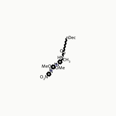 CCCCCCCCCCCCCCCCCCC(=O)OCCNC(C)c1ccc(/N=N/c2cc(OC)c(/N=N/c3ccc([N+](=O)[O-])cc3)cc2OC)cc1